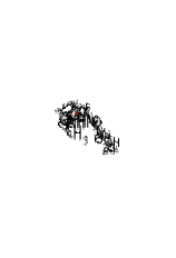 CC(=O)NS(=O)(=O)c1ccccc1-c1ccc(CNC(=O)CNC(=O)[C@@H](CS)Cc2ccccc2F)c(F)c1